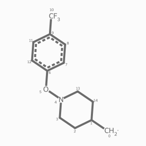 [CH2]C1CCN(Oc2ccc(C(F)(F)F)cc2)CC1